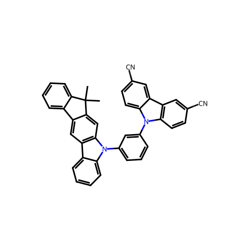 CC1(C)c2ccccc2-c2cc3c4ccccc4n(-c4cccc(-n5c6ccc(C#N)cc6c6cc(C#N)ccc65)c4)c3cc21